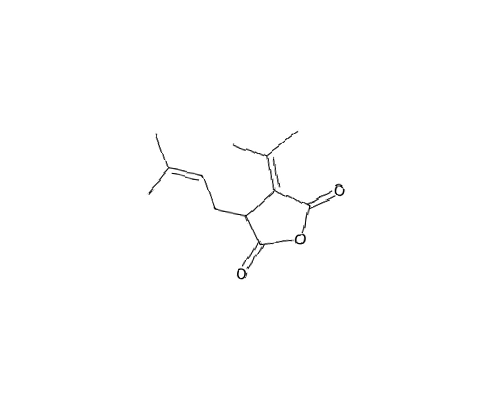 CC(C)=CCC1C(=O)OC(=O)C1=C(C)C